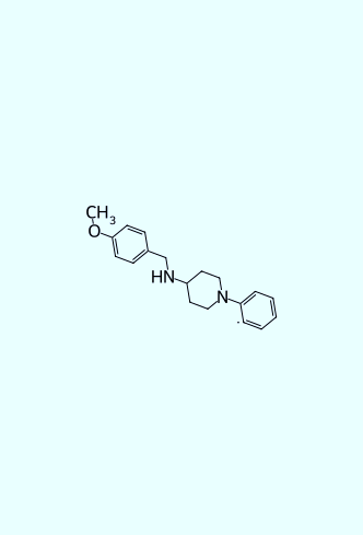 COc1ccc(CNC2CCN(c3[c]cccc3)CC2)cc1